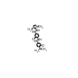 CN(C)c1ccc(NNc2ccc(NNc3n(C)cc[n+]3C)cc2Cl)cc1Cl